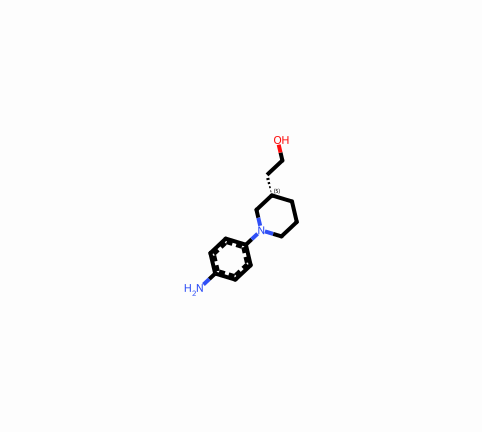 Nc1ccc(N2CCC[C@@H](CCO)C2)cc1